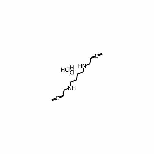 C=C=CCNCCCCNCC=C=C.Cl.Cl